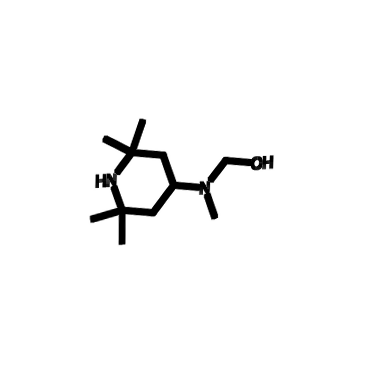 CN(CO)C1CC(C)(C)NC(C)(C)C1